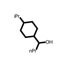 CCCC(O)C1CCC(C(C)C)CC1